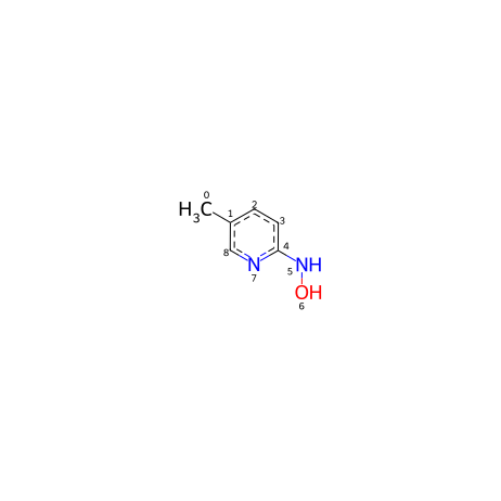 Cc1ccc(NO)nc1